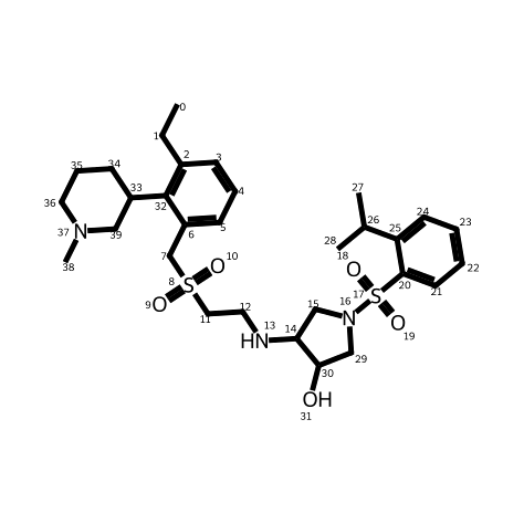 CCc1cccc(CS(=O)(=O)CCNC2CN(S(=O)(=O)c3ccccc3C(C)C)CC2O)c1C1CCCN(C)C1